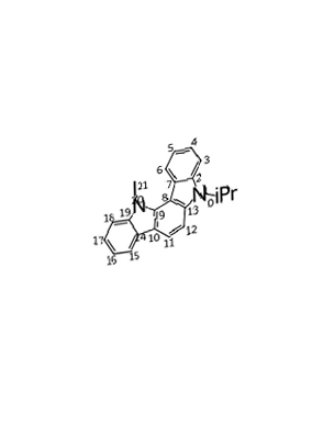 CC(C)n1c2ccccc2c2c3c(ccc21)c1ccccc1n3I